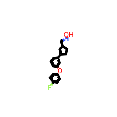 ON=CC1C=C(c2cccc(Oc3ccc(F)cc3)c2)CC1